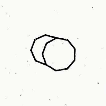 C1CC[C]2CCCCC(CC1)CC2